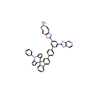 CC1/C=C\c2nc(-c3cc(-c4ccc(-c5ccc6c(c5)C5(c7ccccc7-6)c6ccccc6N(c6ccccc6)c6ccccc65)cc4)cc(-c4nc5ccncc5o4)c3)oc2/C=C/C1